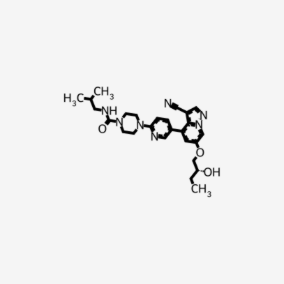 CC[C@@H](O)COc1cc(-c2ccc(N3CCN(C(=O)NCC(C)C)CC3)nc2)c2c(C#N)cnn2c1